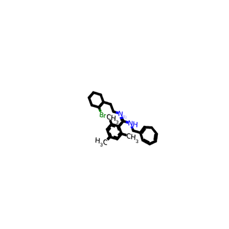 Cc1cc(C)c(/C(=N\CCC2CCCCC2Br)NCC2=CCC=CC=C2)c(C)c1